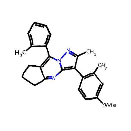 COc1ccc(-c2c(C)nn3c(-c4ccccc4C)c4c(nc23)CCC4)c(C)c1